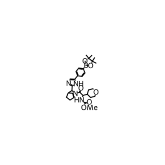 COC(=O)NC(C(=O)N1C2CCC(C2)C1c1ncc(-c2ccc(B3OC(C)(C)C(C)(C)O3)cc2)[nH]1)C1CCOCC1